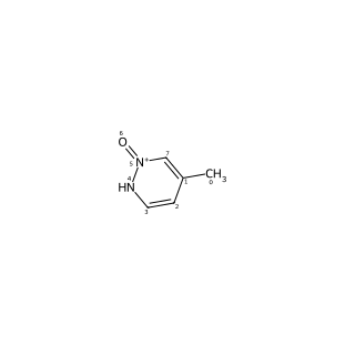 Cc1cc[nH][n+](=O)c1